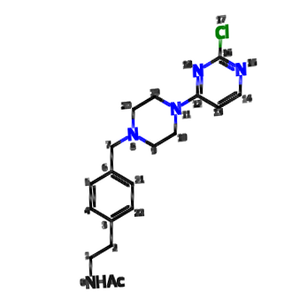 CC(=O)NCCc1ccc(CN2CCN(c3ccnc(Cl)n3)CC2)cc1